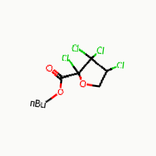 CCCCOC(=O)C1(Cl)OCC(Cl)C1(Cl)Cl